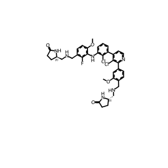 COc1cc(-c2nccc(-c3cccc(Nc4c(OC)ccc(CNC[C@H]5CCC(=O)N5)c4F)c3Cl)c2Cl)ccc1CNC[C@@H]1CCC(=O)N1